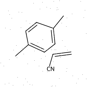 C=CC#N.Cc1ccc(C)cc1